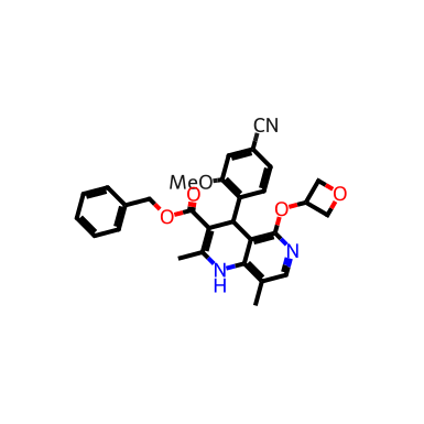 COc1cc(C#N)ccc1C1C(C(=O)OCc2ccccc2)=C(C)Nc2c(C)cnc(OC3COC3)c21